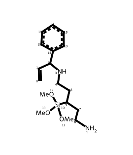 C=CC(NCCC(CCN)[Si](OC)(OC)OC)c1ccccc1